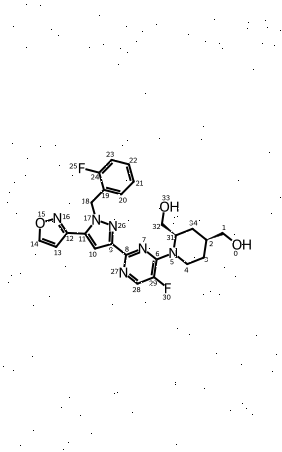 OC[C@H]1CCN(c2nc(-c3cc(-c4ccon4)n(Cc4ccccc4F)n3)ncc2F)[C@@H](CO)C1